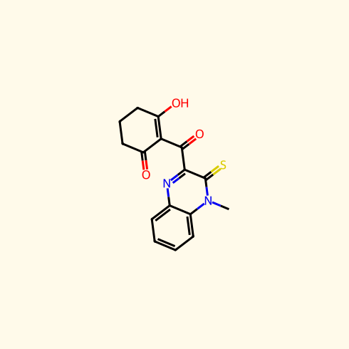 Cn1c(=S)c(C(=O)C2=C(O)CCCC2=O)nc2ccccc21